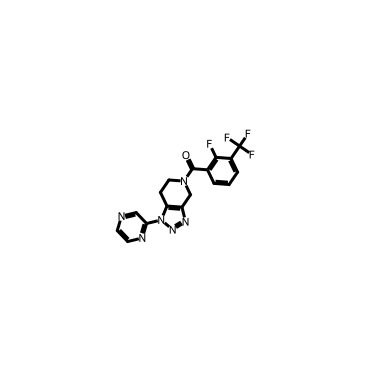 O=C(c1cccc(C(F)(F)F)c1F)N1CCc2c(nnn2-c2cnccn2)C1